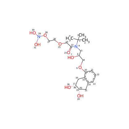 CC(C)(C)N(CC(O)COc1cccc2c1C[C@@H](O)[C@@H](O)C2)C(=O)COCCON(O)O